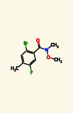 CON(C)C(=O)c1cc(F)c(C)cc1Br